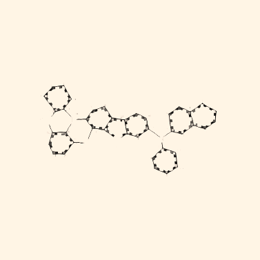 c1ccc(N(c2ccc3ccccc3c2)c2ccc3c(c2)oc2c4c(ccc23)B2c3ccccc3Oc3cccc(c32)O4)cc1